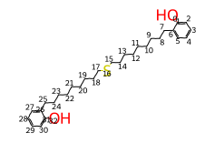 Oc1ccccc1CCCCCCCCCSCCCCCCCCCc1ccccc1O